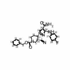 N#C[C@H]1CN(C(=O)OCc2ccccc2)CC[C@@H]1n1cc(C(N)=O)c(Nc2ccc(F)cc2)n1